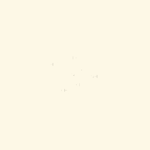 C=C[Si](C)(C=C)O[SiH3].[Pt]